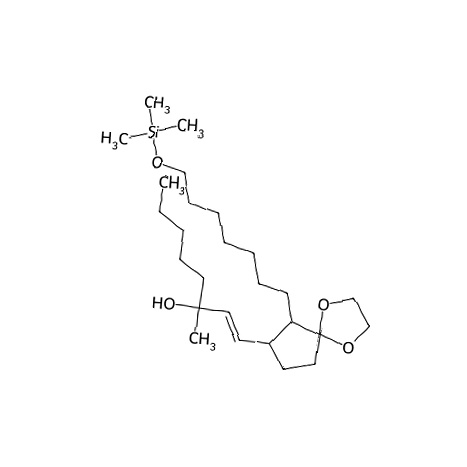 CCCCCC(C)(O)C=CC1CCC2(OCCO2)C1CCCCCCCO[Si](C)(C)C